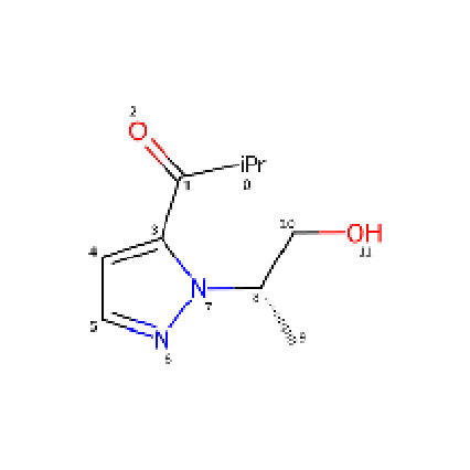 CC(C)C(=O)c1ccnn1[C@@H](C)CO